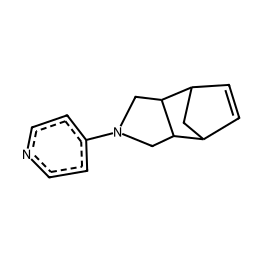 C1=CC2CC1C1CN(c3ccncc3)CC21